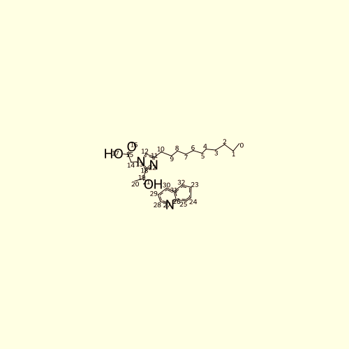 CCCCCCCCCCCc1cn(CC(=O)O)c(C(C)O)n1.c1ccc2ncccc2c1